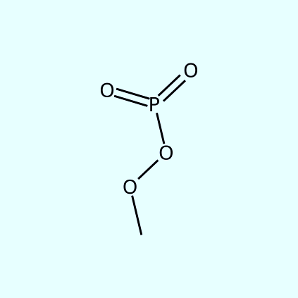 COOP(=O)=O